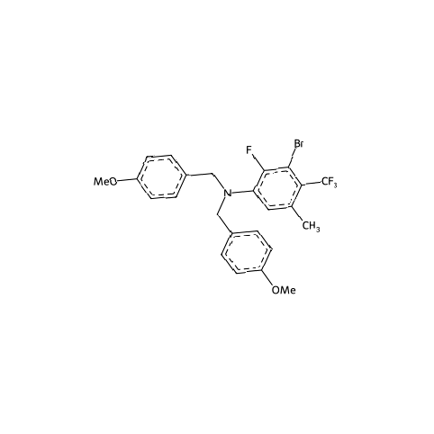 COc1ccc(CN(Cc2ccc(OC)cc2)c2cc(C)c(C(F)(F)F)c(Br)c2F)cc1